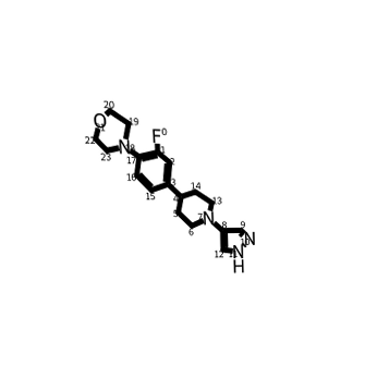 Fc1cc(C2CCN(c3cn[nH]c3)CC2)ccc1N1CCOCC1